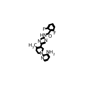 CC1=C(c2cnc(NC(=O)c3c(F)cccc3F)cn2)CN(c2ncccc2N)CC1